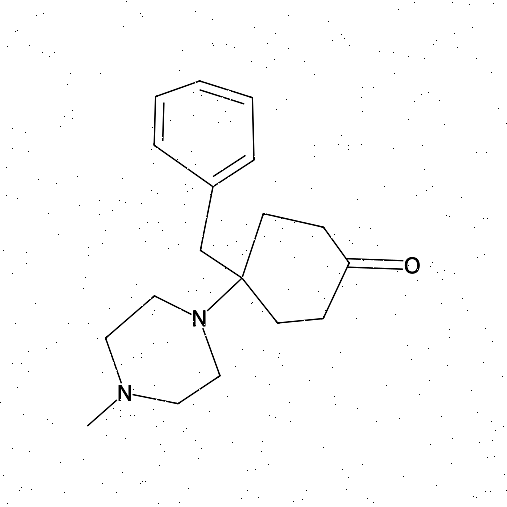 CN1CCN(C2(Cc3ccccc3)CCC(=O)CC2)CC1